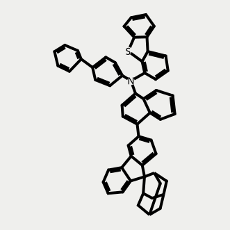 c1ccc(-c2ccc(N(c3ccc(-c4ccc5c(c4)-c4ccccc4C54C5CC6CC(C5)CC4C6)c4ccccc34)c3cccc4c3sc3ccccc34)cc2)cc1